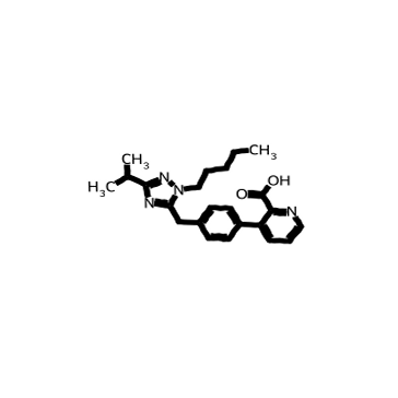 CCCCCn1nc(C(C)C)nc1Cc1ccc(-c2cccnc2C(=O)O)cc1